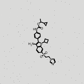 CC(OC(=O)Nc1ccc(-c2c(N)c3ccc(S(=O)(=O)CCn4ccnc4)cc3n2C2CCC2)cc1)C1CC1